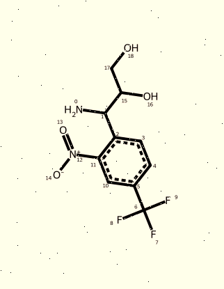 NC(c1ccc(C(F)(F)F)cc1[N+](=O)[O-])C(O)CO